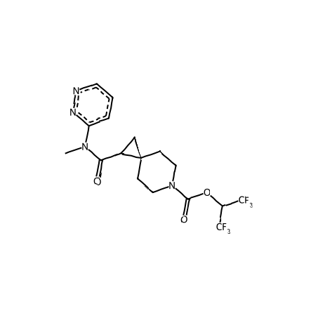 CN(C(=O)C1CC12CCN(C(=O)OC(C(F)(F)F)C(F)(F)F)CC2)c1cccnn1